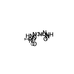 COc1n[nH]c2ncc(N3CCC(N(C)C(=O)Nc4cc(C5CC5)cn([C@H]5CCCOC5)c4=O)CC3)cc12